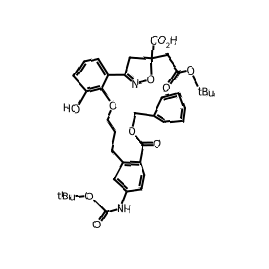 CC(C)(C)OC(=O)CC1(C(=O)O)CC(c2cccc(O)c2OCCCc2cc(NC(=O)OC(C)(C)C)ccc2C(=O)OCc2ccccc2)=NO1